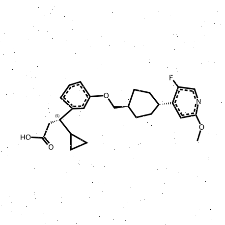 COc1cc([C@H]2CC[C@H](COc3cccc([C@@H](CC(=O)O)C4CC4)c3)CC2)c(F)cn1